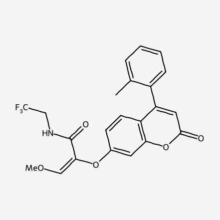 COC=C(Oc1ccc2c(-c3ccccc3C)cc(=O)oc2c1)C(=O)NCC(F)(F)F